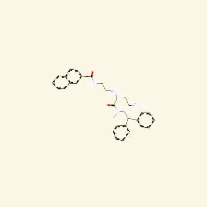 CN(CC(c1ccccc1)c1ccccc1)C(=O)[C@H](CCN)NCCNC(=O)c1ccc2ccccc2c1